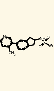 Cc1ccncc1-c1ccc2c(c1)CC(NS(=O)(=O)C(C)C)C2